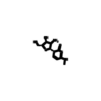 CNc1ccn([C@@H]2O[C@H](CO)[C@@H](O)C2N)c(=O)n1